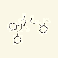 COc1ccccc1OCC(=O)C1=C(O)C(CCc2ccccc2)(c2ccccc2)OC1=O